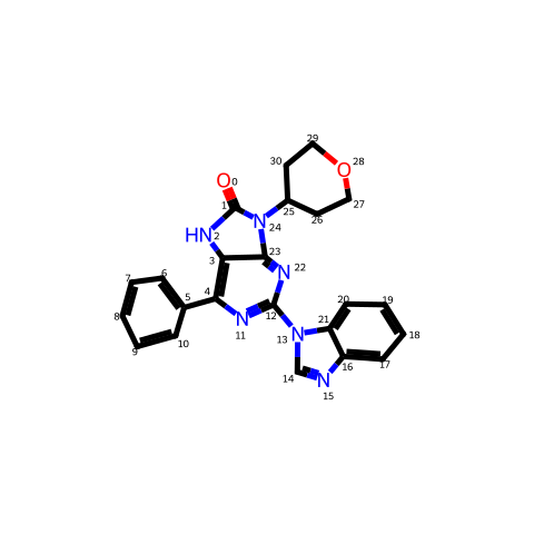 O=c1[nH]c2c(-c3ccccc3)nc(-n3cnc4ccccc43)nc2n1C1CCOCC1